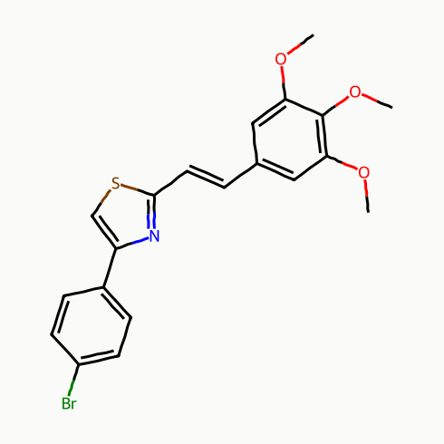 COc1cc(C=Cc2nc(-c3ccc(Br)cc3)cs2)cc(OC)c1OC